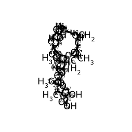 C=C1C2CC3O[C@H]4C[C@H]5O[C@@]6(CC7O[C@]8(C[C@H](C)C9O[C@H](CC(=O)O)[C@H](O)CC9O8)C[C@H](C)C7O6)C[C@H]5O[C@H]4[C@H](C)C3OC(=O)CC3CCC4O[C@@H]5C6O[C@@H]7C[C@](CCC8CC(=C)[C@H](CCC(C[C@H]1C)O2)O8)(OC6[C@H]4O3)OC57